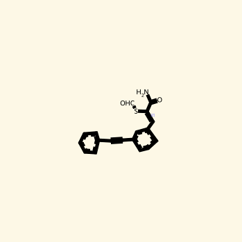 NC(=O)/C(=C/c1cccc(C#Cc2ccccc2)c1)SC=O